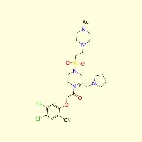 CC(=O)N1CCN(CCS(=O)(=O)N2CCN(C(=O)COc3cc(Cl)c(Cl)cc3C#N)[C@@H](CN3CCCC3)C2)CC1